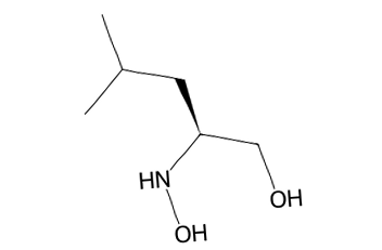 CC(C)C[C@@H](CO)NO